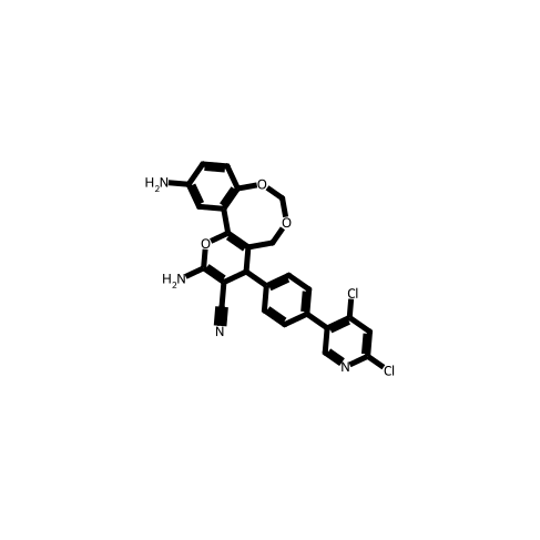 N#CC1=C(N)OC2=C(COCOc3ccc(N)cc32)C1c1ccc(-c2cnc(Cl)cc2Cl)cc1